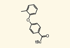 Cc1ccccc1Oc1ccc(C(=O)C(C)(C)C)cc1